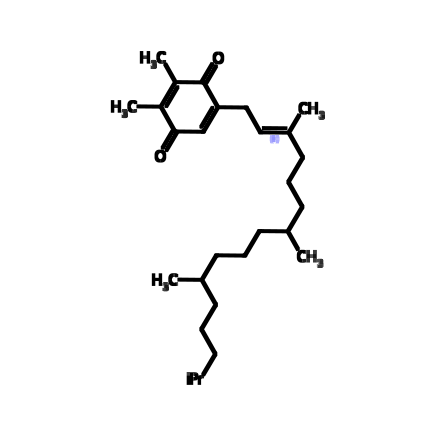 CC1=C(C)C(=O)C(C/C=C(\C)CCCC(C)CCCC(C)CCCC(C)C)=CC1=O